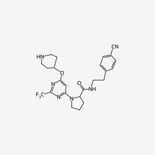 N#Cc1ccc(CCNC(=O)C2CCCN2c2cc(OC3CCNCC3)nc(C(F)(F)F)n2)cc1